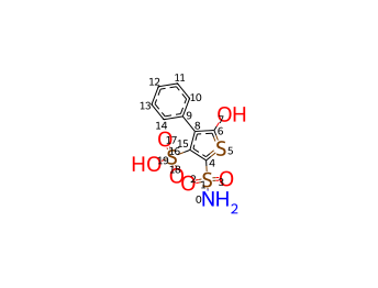 NS(=O)(=O)c1sc(O)c(-c2ccccc2)c1S(=O)(=O)O